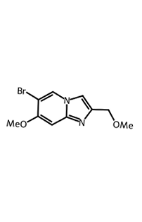 COCc1cn2cc(Br)c(OC)cc2n1